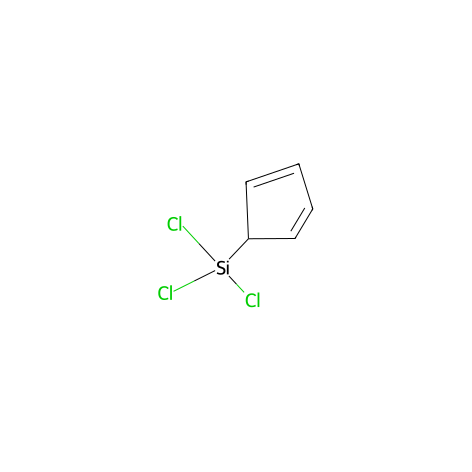 Cl[Si](Cl)(Cl)C1C=CC=C1